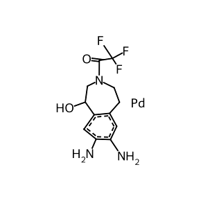 Nc1cc2c(cc1N)C(O)CN(C(=O)C(F)(F)F)CC2.[Pd]